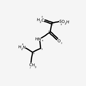 C=C(C(=O)NCC(C)N)S(=O)(=O)O